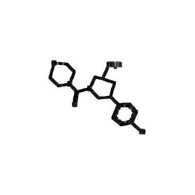 CCOC(=O)C1CC(c2ccc(CC)cc2)CN(C(=O)N2CCOCC2)C1